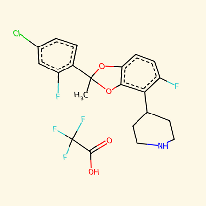 CC1(c2ccc(Cl)cc2F)Oc2ccc(F)c(C3CCNCC3)c2O1.O=C(O)C(F)(F)F